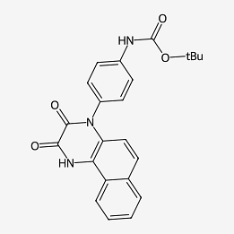 CC(C)(C)OC(=O)Nc1ccc(-n2c(=O)c(=O)[nH]c3c4ccccc4ccc32)cc1